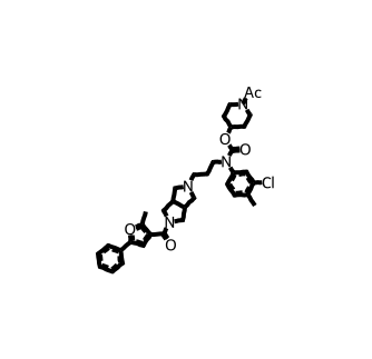 CC(=O)N1CCC(OC(=O)N(CCCN2CC3CN(C(=O)c4cc(-c5ccccc5)oc4C)CC3C2)c2ccc(C)c(Cl)c2)CC1